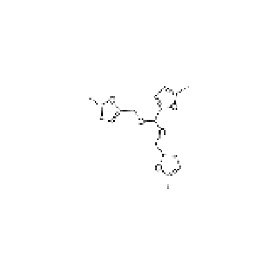 Cc1ccc(COC(OCc2ccc(C)o2)c2ccc(C)o2)o1